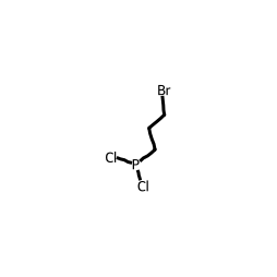 ClP(Cl)CCCBr